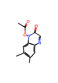 CC(=O)On1c(=O)cnc2cc(C)c(C)cc21